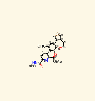 CCCNC(=O)c1ccc(-c2cc3c(cc2C=O)-c2cscc2CCO3)c(C(=O)OC)n1